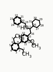 CCc1cccc(CC)c1-c1cc(OC)c(CC(NCc2ccccc2)C2CCCCC2)cn1